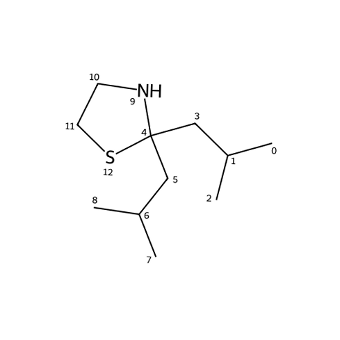 CC(C)CC1(CC(C)C)NCCS1